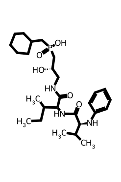 CCC(C)C(NC(=O)[C@@H](Nc1ccccc1)C(C)C)C(=O)NC[C@H](O)CP(=O)(O)CC1CCCCC1